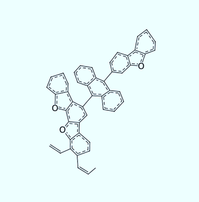 C=Cc1c(/C=C\C)ccc2c1oc1c2cc(-c2c3ccccc3c(-c3ccc4c(c3)oc3ccccc34)c3ccccc23)c2c3ccccc3oc12